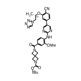 COc1cc(C(=O)N2CC3(CN(C(=O)OC(C)(C)C)C3)C2)ccc1Nc1ncc(-c2ccc(C#N)c(O[C@@H](C)Cn3cnnn3)c2)cn1